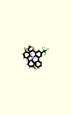 FC(F)(F)c1cc(-c2ccccc2)c(-n2c3cc(Br)ccc3c3ccc(Br)cc32)c(-c2cccs2)c1